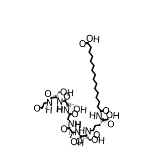 O=[C]CNC(=O)[C@H](CO)NC(=O)[C@H](CO)NC(=O)CNC(=O)[C@H](CO)NC(=O)[C@H](CO)NC(=O)CC[C@H](NC(=O)CCCCCCCCCCCCCCC(=O)O)C(=O)O